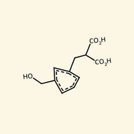 O=C(O)C(Cc1cccc(CO)c1)C(=O)O